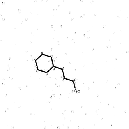 CC(=O)CCCC1CCCCC1